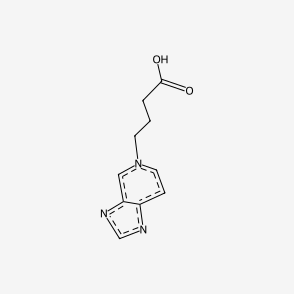 O=C(O)CCCn1ccc2ncnc-2c1